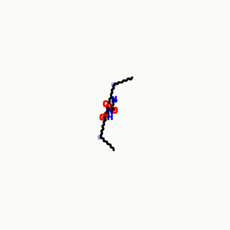 CCCCCCCC/C=C\CCCCCCCC(=O)OCC(COC(=O)CCCCCCC/C=C\CCCCCCCC)NC(=O)SCCN(C)C